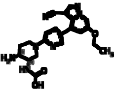 CCOc1cc(-c2ccc(N3CC[C@H](N)[C@@H](NC(=O)O)C3)nc2)c2c(C#N)cnn2c1